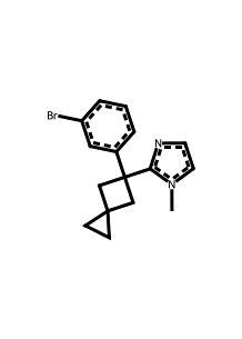 Cn1ccnc1C1(c2cccc(Br)c2)CC2(CC2)C1